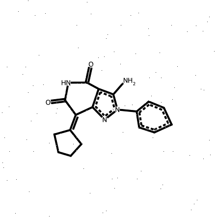 Nc1c2c(nn1-c1ccccc1)C(=C1CCCC1)C(=O)NC2=O